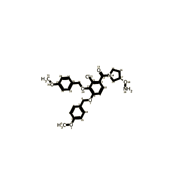 COc1ccc(COc2ccc(C(=O)N3CC[C@H](ON)C3)c(Cl)c2OCc2ccc(OC)cc2)cc1